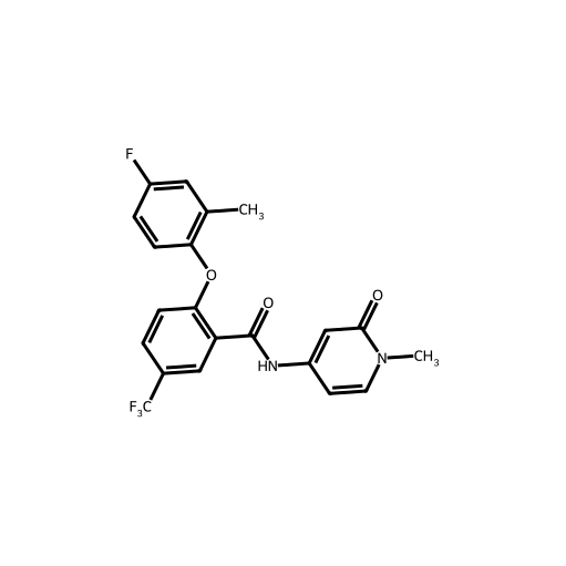 Cc1cc(F)ccc1Oc1ccc(C(F)(F)F)cc1C(=O)Nc1ccn(C)c(=O)c1